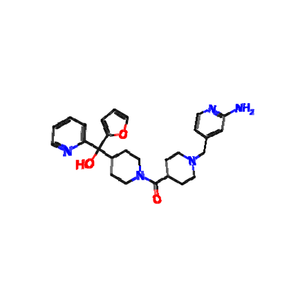 Nc1cc(CN2CCC(C(=O)N3CCC(C(O)(c4ccccn4)c4ccco4)CC3)CC2)ccn1